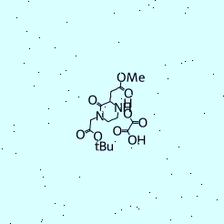 COC(=O)CC1NCCN(CC(=O)OC(C)(C)C)C1=O.O=C(O)C(=O)O